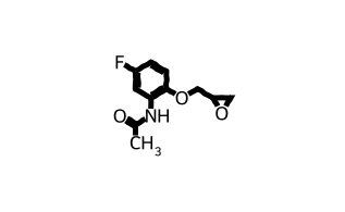 CC(=O)Nc1cc(F)ccc1OCC1CO1